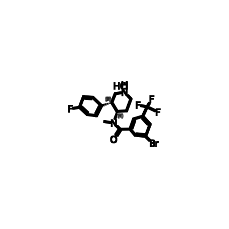 CN(C(=O)c1cc(Br)cc(C(F)(F)F)c1)[C@@H]1CCNC[C@H]1c1ccc(F)cc1.Cl